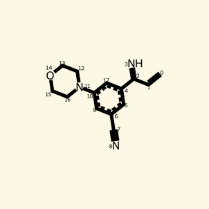 C=CC(=N)c1cc(C#N)cc(N2CCOCC2)c1